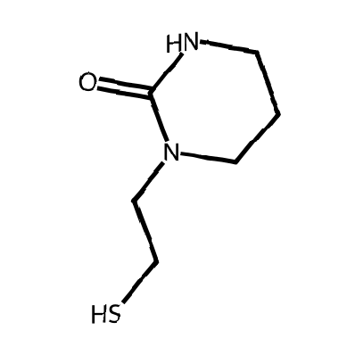 O=C1NCCCN1CCS